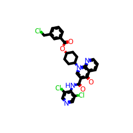 O=C(OC1CCC(n2cc(C(=O)Nc3c(Cl)cncc3Cl)c(=O)c3cccnc32)CC1)c1cccc(CCl)c1